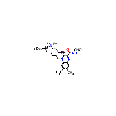 CCCCCCCCCCCCCCCCN1c2cc(C)c(C)cc2N=C(C(=O)NC=O)C1PCCC[N+](CC)(CC)CC